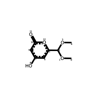 COC(OC)c1cc(O)cc(=O)o1